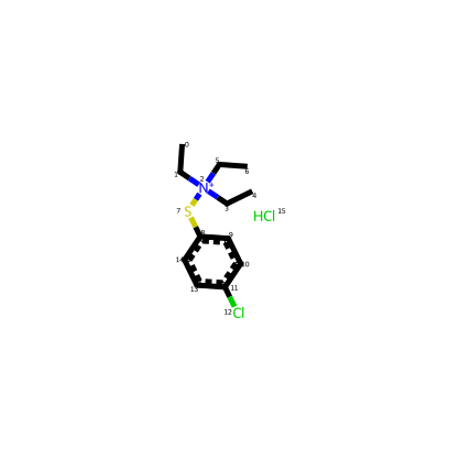 CC[N+](CC)(CC)Sc1ccc(Cl)cc1.Cl